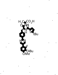 COc1ccc(-c2cnc(-c3ccc(C[C@H](NC(=O)c4ccc(C(C)(C)C)s4)C(=O)N[C@H](C)C(=O)O)cc3)nc2)c(F)c1OCC(C)C